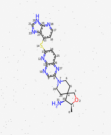 C[C@@H]1OCC2(CCN(c3cnc4nc(Sc5ccnc6[nH]cnc56)ccc4n3)CC2)[C@@H]1N